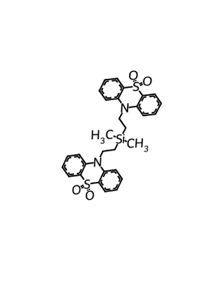 C[Si](C)(CCN1c2ccccc2S(=O)(=O)c2ccccc21)CCN1c2ccccc2S(=O)(=O)c2ccccc21